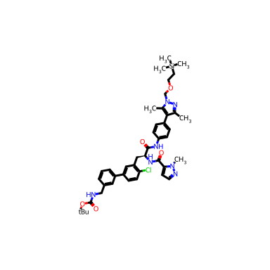 Cc1nn(COCC[Si](C)(C)C)c(C)c1-c1ccc(NC(=O)[C@H](Cc2cc(-c3cccc(CNC(=O)OC(C)(C)C)c3)ccc2Cl)NC(=O)c2ccnn2C)cc1